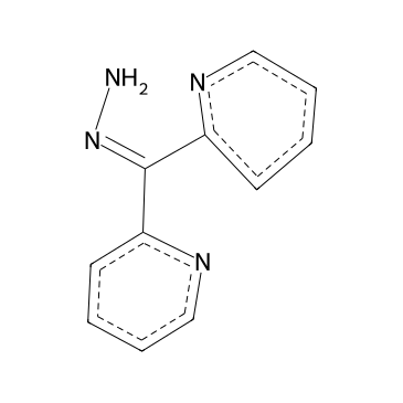 NN=C(c1ccccn1)c1ccccn1